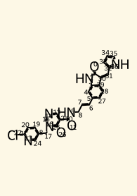 O=C1Nc2cc(C=CCNC(=O)c3cncn(Cc4ccc(Cl)nc4)c3=O)ccc2C1=Cc1ccc[nH]1